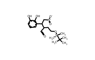 CC(C)(C)[Si](C)(C)OCCC(C=O)C(C[N+](=O)[O-])c1cccc(O)c1O